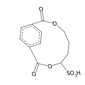 O=C1OCCCC(S(=O)(=O)O)OC(=O)c2ccc1cc2